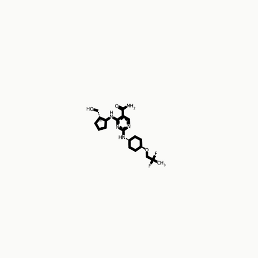 CC(F)(F)CO[C@H]1CC[C@H](Nc2ncc(C(N)=O)c(NC3CCC[C@@H]3CO)n2)CC1